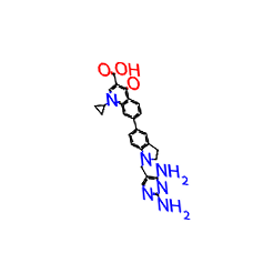 Nc1ncc(CN2CCc3cc(-c4ccc5c(=O)c(C(=O)O)cn(C6CC6)c5c4)ccc32)c(N)n1